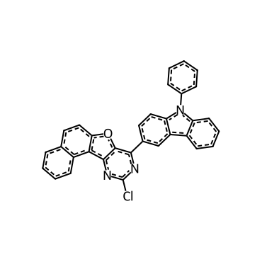 Clc1nc(-c2ccc3c(c2)c2ccccc2n3-c2ccccc2)c2oc3ccc4ccccc4c3c2n1